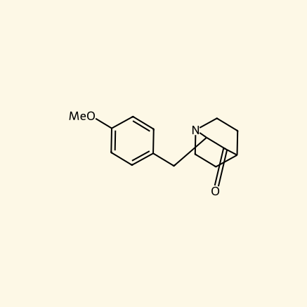 COc1ccc(CC2C(=O)C3CCN2CC3)cc1